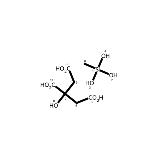 C[Si](O)(O)O.O=C(O)CC(O)(CC(=O)O)C(=O)O